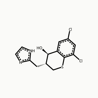 O[C@H]1c2cc(Cl)cc(Cl)c2SC[C@@H]1Cc1ncc[nH]1